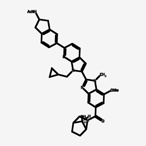 COc1cc(C(=O)N2CC3CCC2[C@@H]3N)cc2nc(-c3cc4ccc(-c5ccc6c(c5)CC(NC(C)=O)C6)nc4n3CC3CC3)n(C)c12